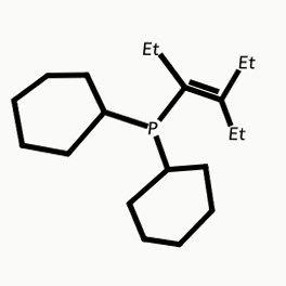 CCC(CC)=C(CC)P(C1CCCCC1)C1CCCCC1